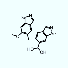 COc1cc2[se]ncc2cc1C.OC(O)c1ccc2cn[se]c2c1